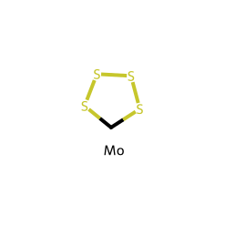 C1SSSS1.[Mo]